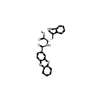 COC(=O)[C@H](Cc1c[nH]c2ccccc12)NC(=O)c1ccc2nc3ccccc3nc2c1